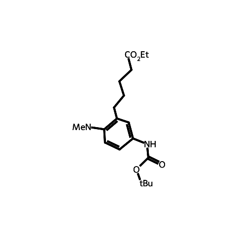 CCOC(=O)CCCCc1cc(NC(=O)OC(C)(C)C)ccc1NC